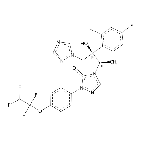 C[C@@H](n1cnn(-c2ccc(OC(F)(F)C(F)F)cc2)c1=O)[C@](O)(Cn1cncn1)c1ccc(F)cc1F